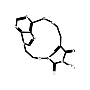 Cn1c(=O)c2cn(c1=O)CCCn1cnc3c(ncnc31)SCCC2